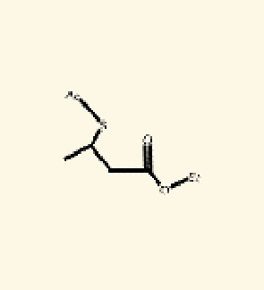 CCOC(=O)CC(C)SC(C)=O